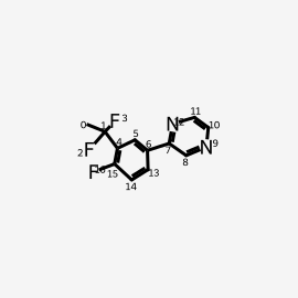 CC(F)(F)c1cc(-c2cnccn2)ccc1F